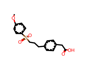 COc1ccc(S(=O)(=O)CCCc2ccc(CC(=O)O)cc2)cc1